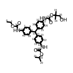 CCOC(=O)Nc1ccc(C(c2ccc(NC(=O)OC(C)C)cc2)c2ccc(NC(=O)OC(C)(C)CO)cc2)cc1